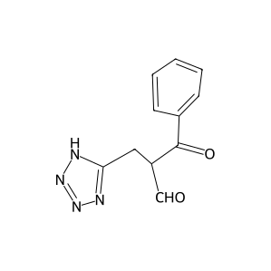 O=CC(Cc1nnn[nH]1)C(=O)c1ccccc1